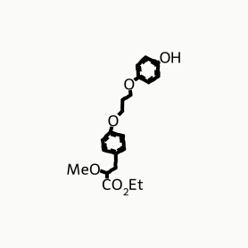 CCOC(=O)C(Cc1ccc(OCCCOc2ccc(O)cc2)cc1)OC